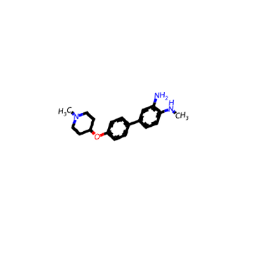 CNc1ccc(-c2ccc(OC3CCN(C)CC3)cc2)cc1N